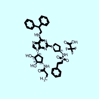 CCC(=O)N[C@H]1C[C@@H](n2cnc3c(NCC(c4ccccc4)c4ccccc4)nc(N4CC[C@@H](NS(=O)(=O)C=Cc5ccccc5)C4)nc32)[C@H](O)[C@@H]1O.O=C(O)C(F)(F)F